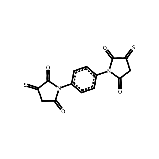 O=C1CC(=S)C(=O)N1c1ccc(N2C(=O)CC(=S)C2=O)cc1